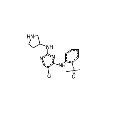 CP(C)(=O)c1ccccc1Nc1nc(NC2CCNC2)ncc1Cl